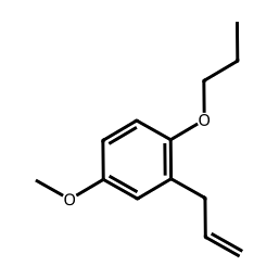 C=CCc1cc(OC)ccc1OCCC